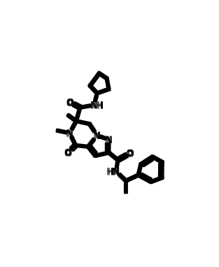 CC(NC(=O)c1cc2n(n1)CC(C)(C(=O)NC1CCCC1)N(C)C2=O)c1ccccc1